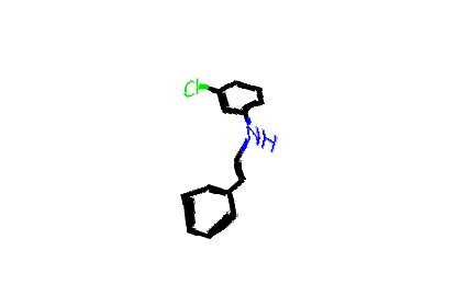 Clc1cccc(NC=Cc2ccccc2)c1